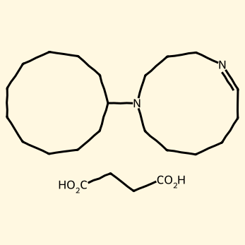 C1=NCCCN(C2CCCCCCCCCC2)CCCCC1.O=C(O)CCC(=O)O